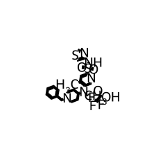 Cc1cc(S(=O)(=O)Nc2cscn2)ncc1N(C)C1CCN(Cc2ccccc2)CC1.O=C(O)C(F)(F)F